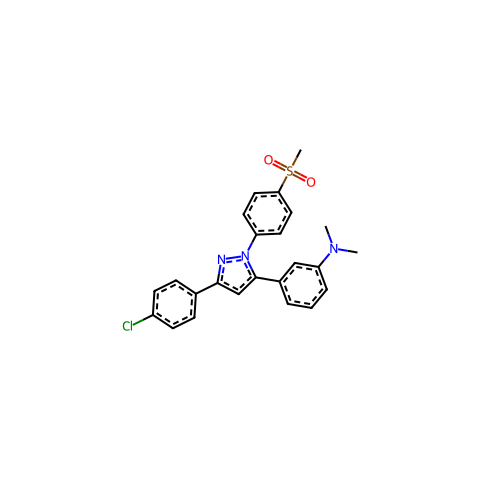 CN(C)c1cccc(-c2cc(-c3ccc(Cl)cc3)nn2-c2ccc(S(C)(=O)=O)cc2)c1